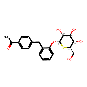 CC(=O)c1ccc(Cc2ccccc2O[C@H]2S[C@@H](CO)[C@@H](O)[C@H](O)[C@H]2O)cc1